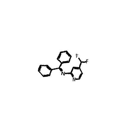 FC(F)c1ccnc(N=C(c2ccccc2)c2ccccc2)c1